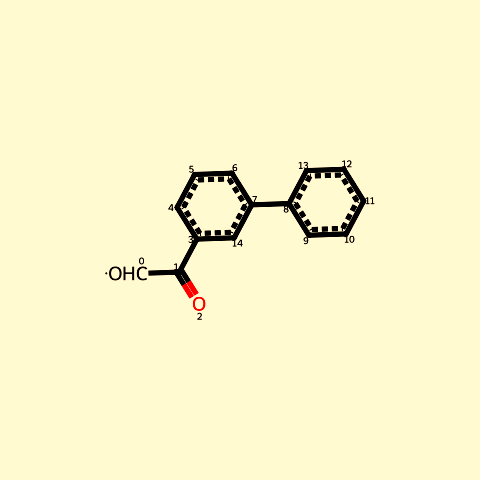 O=[C]C(=O)c1cccc(-c2ccccc2)c1